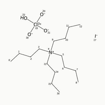 CCCC[N+](CCCC)(CCCC)CCCC.[I-].[O-][Cl+3]([O-])([O-])O